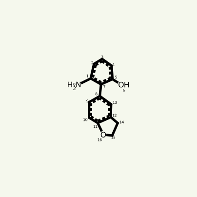 Nc1cccc(O)c1-c1ccc2c(c1)CCO2